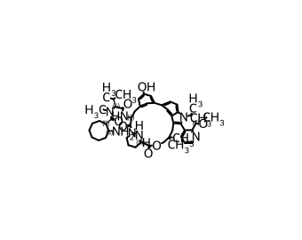 CCn1c(-c2cccnc2[C@H](C)OC)c2c3cc(ccc31)-c1cc(O)cc(c1)C[C@H](NC(=O)[C@H](C(C)C)N(C)C(=O)[C@@H]1CCCCCC[C@@H]1N)C(=O)N1CCC[C@H](N1)C(=O)OCC(C)(C)C2